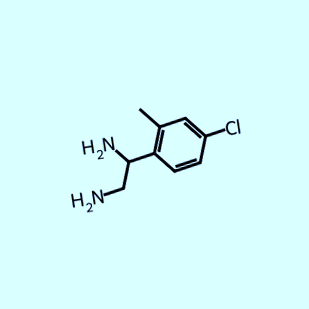 Cc1cc(Cl)ccc1C(N)CN